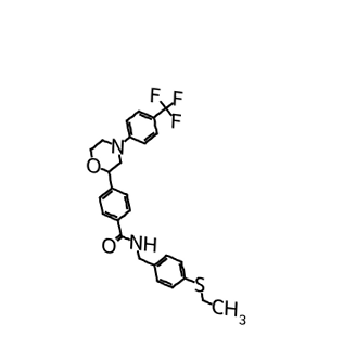 CCSc1ccc(CNC(=O)c2ccc(C3CN(c4ccc(C(F)(F)F)cc4)CCO3)cc2)cc1